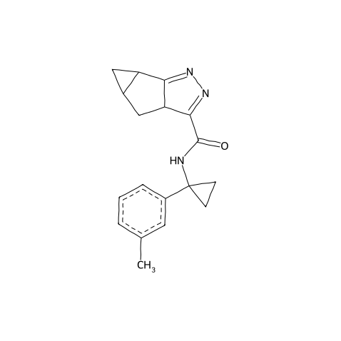 Cc1cccc(C2(NC(=O)C3=NN=C4C3CC3CC43)CC2)c1